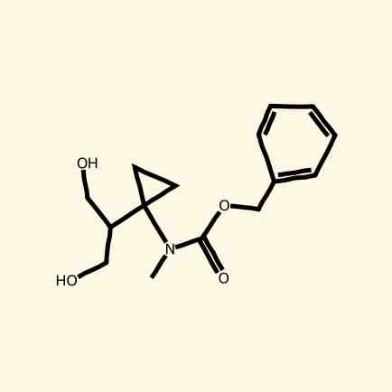 CN(C(=O)OCc1ccccc1)C1(C(CO)CO)CC1